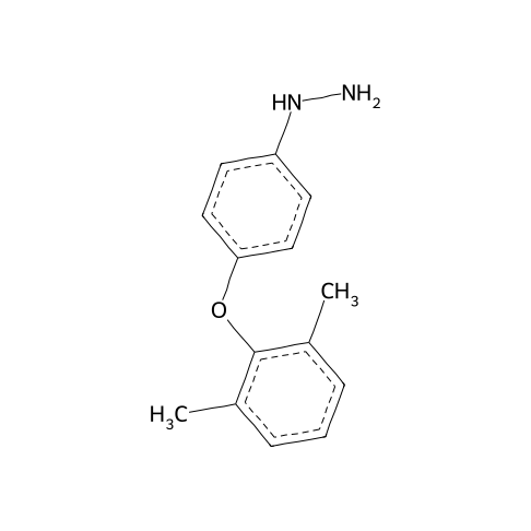 Cc1cccc(C)c1Oc1ccc(NN)cc1